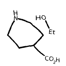 CCO.O=C(O)C1CCNCC1